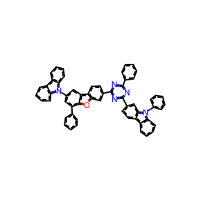 c1ccc(-c2nc(-c3ccc4c(c3)oc3c(-c5ccccc5)cc(-n5c6ccccc6c6ccccc65)cc34)nc(-c3ccc4c5ccccc5n(-c5ccccc5)c4c3)n2)cc1